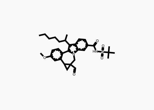 CCCCCC(C)c1c2n(c3cc(C(=O)NS(=O)(=O)C(C)(C)C)ccc13)CC1(C=O)CC1c1cc(OC)ccc1-2